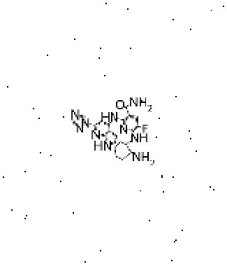 NC(=O)c1cc(F)c(NC2CCCC[C@@H]2N)nc1Nc1cc(-n2cncn2)nc2[nH]ccc12